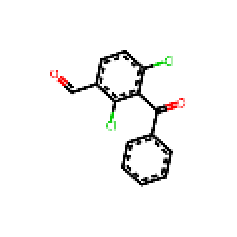 O=[C]c1ccc(Cl)c(C(=O)c2ccccc2)c1Cl